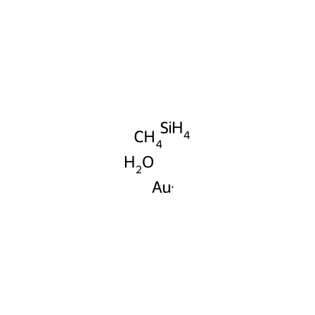 C.O.[Au].[SiH4]